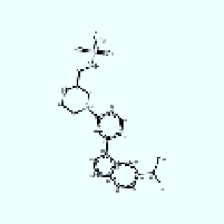 CS(=O)(=O)NCC1CN(c2cc(-c3cnc4ccc(C(F)F)nn34)ccn2)CCN1